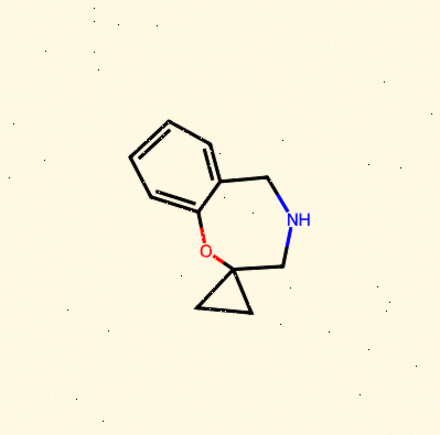 c1ccc2c(c1)CNCC1(CC1)O2